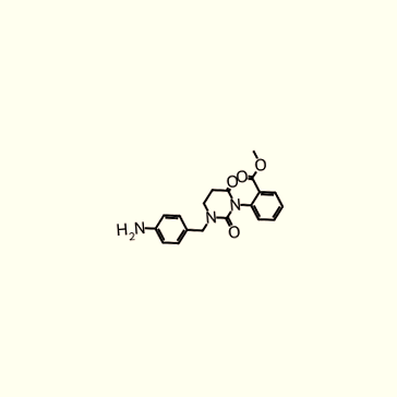 COC(=O)c1ccccc1N1C(=O)CCN(Cc2ccc(N)cc2)C1=O